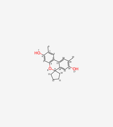 Cc1cc2c(cc1O)OC1(CCCC1)c1cc(O)c(C)cc1-2